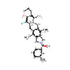 C\C=C1/CCCO/C1=C(F)/C=C/c1c(C)c2c(c(C)c1CC(=O)O)CN(C(=O)c1cccc(C)c1)C2